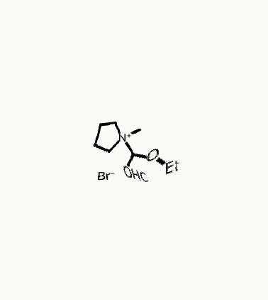 CCOC(C=O)[N+]1(C)CCCC1.[Br-]